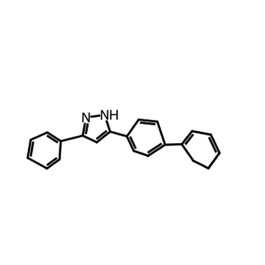 C1=CCCC(c2ccc(-c3cc(-c4ccccc4)n[nH]3)cc2)=C1